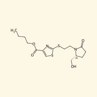 CCCCOC(=O)c1csc(SCCN2C(=O)CC[C@@H]2CO)n1